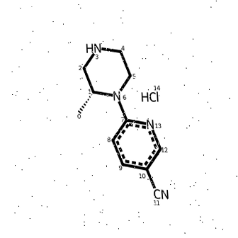 C[C@@H]1CNCCN1c1ccc(C#N)cn1.Cl